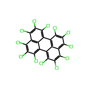 Clc1c(Cl)c2c(Cl)c(Cl)c(Cl)c3c4c(Cl)c(Cl)c(Cl)c5c(Cl)c(Cl)c(Cl)c(c(c1Cl)c23)c54